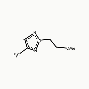 COCCn1n[c]c(C(F)(F)F)n1